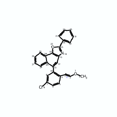 CO/C=C/c1ccc(Cl)cc1-c1cc2nc(-c3ccccc3)oc2c2ccccc12